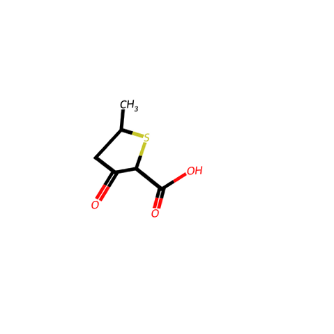 CC1CC(=O)C(C(=O)O)S1